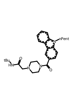 CCCCCn1c2ccccc2c2cc(C(=O)N3CCN(CC(=O)NC(C)(C)C)CC3)ccc21